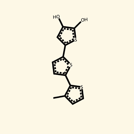 Cc1ccsc1-c1ccc(-c2cc(O)c(O)s2)s1